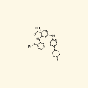 CC(C)Oc1ccccc1Nc1cc(Nc2ccc(N3CCN(C)CC3)cn2)ncc1C(N)=O